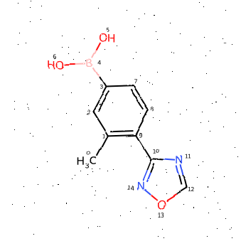 Cc1cc(B(O)O)ccc1-c1ncon1